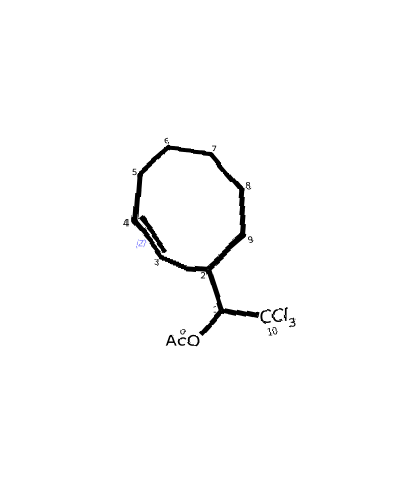 CC(=O)OC(C1/C=C\CCCCC1)C(Cl)(Cl)Cl